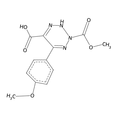 COC(=O)N1N=C(c2ccc(OC)cc2)C(C(=O)O)=NN1